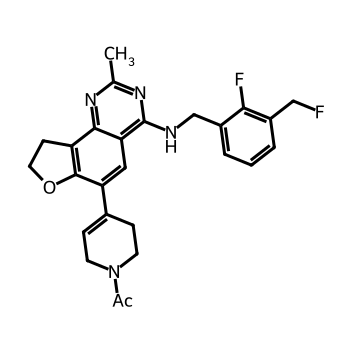 CC(=O)N1CC=C(c2cc3c(NCc4cccc(CF)c4F)nc(C)nc3c3c2OCC3)CC1